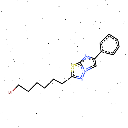 BrCCCCCCc1nn2cc(-c3ccccc3)nc2s1